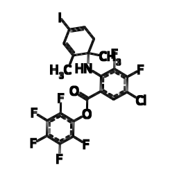 CC1=CC(I)=CCC1(C)Nc1c(C(=O)Oc2c(F)c(F)c(F)c(F)c2F)cc(Cl)c(F)c1F